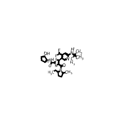 CCC1CCC(C)N1C(=O)c1nc(C(=O)N[C@H]2CCC[C@@H]2O)sc1-c1cnc(NC(C)(C)C)cc1C(F)F